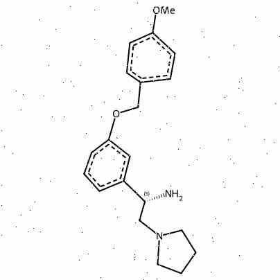 COc1ccc(COc2cccc([C@H](N)CN3CCCC3)c2)cc1